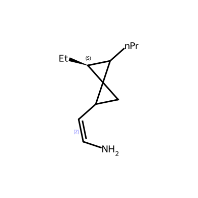 CCCC1[C@H](CC)C12CC2/C=C\N